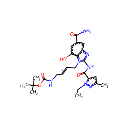 CCn1nc(C)cc1C(=O)Nc1nc2cc(C(N)=O)cc(O)c2n1C/C=C/CNC(=O)OC(C)(C)C